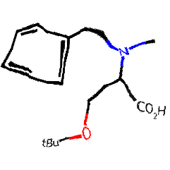 CN(Cc1ccccc1)C(COC(C)(C)C)C(=O)O